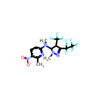 Cc1nc(N(C)C2C(C(F)(F)F)C(C(F)(F)C(F)(F)F)=NN2C)ccc1[N+](=O)[O-]